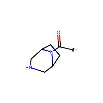 CC(C)C(=O)N1C2CCC1CNC2